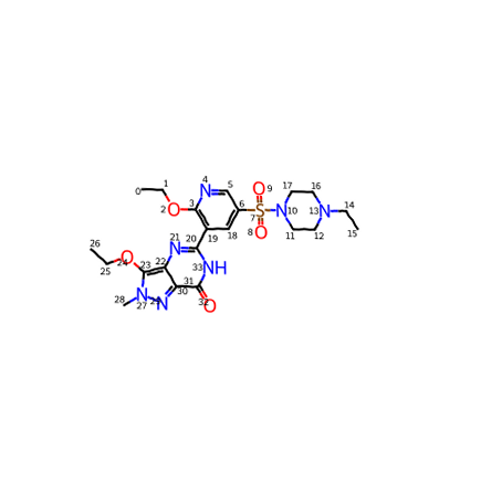 CCOc1ncc(S(=O)(=O)N2CCN(CC)CC2)cc1-c1nc2c(OCC)n(C)nc2c(=O)[nH]1